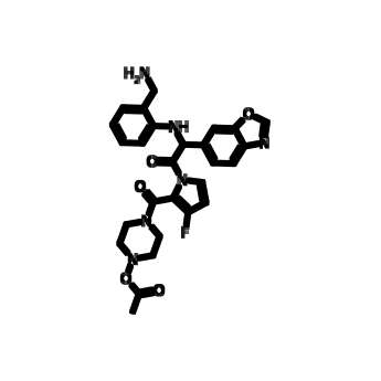 CC(=O)ON1CCN(C(=O)c2c(F)ccn2C(=O)C(Nc2ccccc2CN)c2ccc3ncoc3c2)CC1